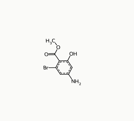 COC(=O)c1c(O)cc(N)cc1Br